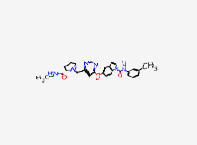 CCNC(=O)[C@@H]1CCCN1Cc1cc(Oc2ccc3c(ccn3C(=O)Nc3cccc(C)c3)c2)ncn1